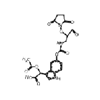 CC(=O)OC(C(=O)O)c1c[nH]c2ccc(OC(=O)NCC(C=O)ON3C(=O)CCC3=O)cc12